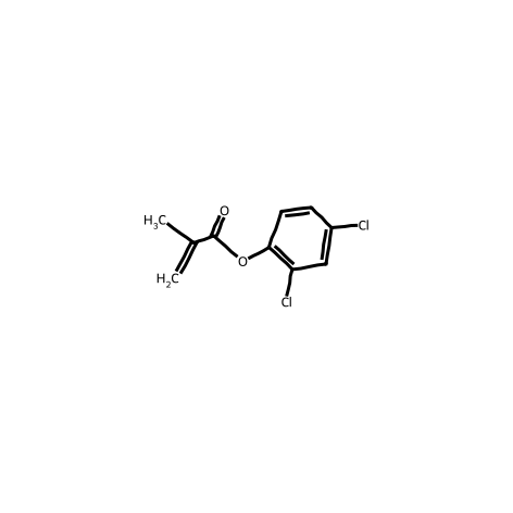 C=C(C)C(=O)Oc1ccc(Cl)cc1Cl